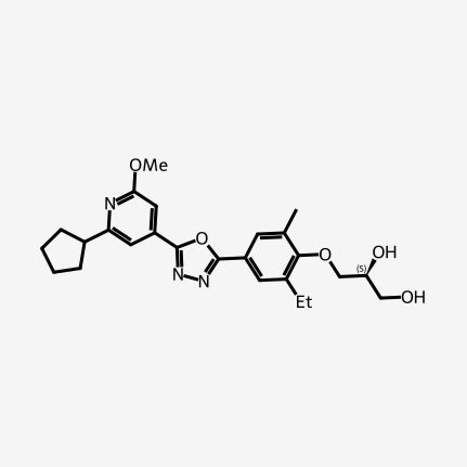 CCc1cc(-c2nnc(-c3cc(OC)nc(C4CCCC4)c3)o2)cc(C)c1OC[C@@H](O)CO